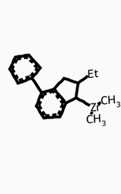 CCC1Cc2c(-c3ccccc3)cccc2[CH]1[Zr]([CH3])[CH3]